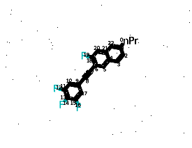 CCCc1ccc2cc(C#Cc3cc(F)c(F)c(F)c3)c(F)cc2c1